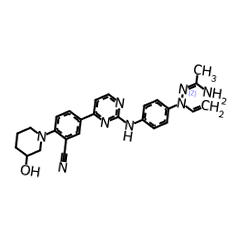 C=CN(/N=C(/C)N)c1ccc(Nc2nccc(-c3ccc(N4CCCC(O)C4)c(C#N)c3)n2)cc1